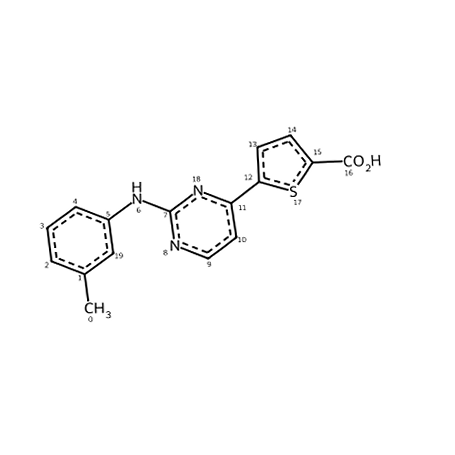 Cc1cccc(Nc2nccc(-c3ccc(C(=O)O)s3)n2)c1